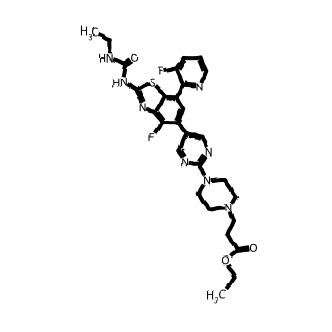 CCNC(=O)Nc1nc2c(F)c(-c3cnc(N4CCN(CCC(=O)OCC)CC4)nc3)cc(-c3ncccc3F)c2s1